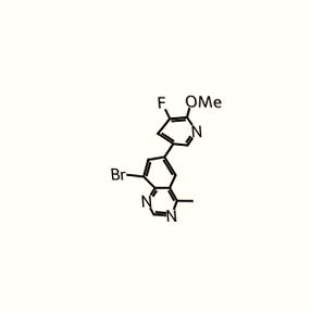 COc1ncc(-c2cc(Br)c3ncnc(C)c3c2)cc1F